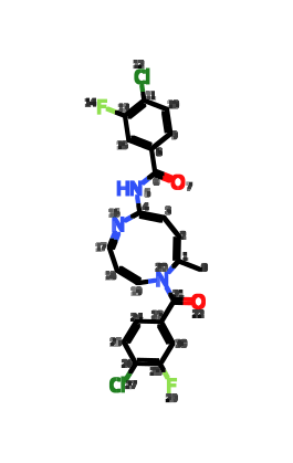 Cc1ccc(NC(=O)c2ccc(Cl)c(F)c2)ncccn1C(=O)c1ccc(Cl)c(F)c1